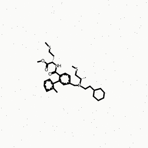 COC(=O)[C@H](CCSC)NC(=O)c1ccc(CN(CCC2CCCCC2)[C@@H](C)CSC)cc1-c1ccccc1C